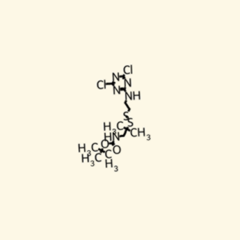 CC(C)(C)OC(=O)NCC(C)(C)SSCCNc1nc(Cl)nc(Cl)n1